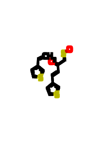 C=Cc1ccsc1.O=S=CC(=O)C=Cc1ccsc1